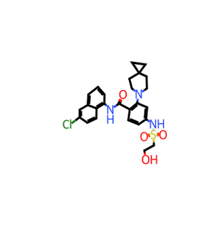 O=C(Nc1cccc2cc(Cl)ccc12)c1ccc(NS(=O)(=O)CCO)cc1N1CCC2(CC1)CC2